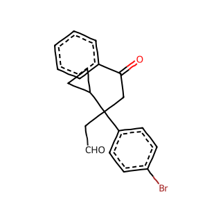 O=CCC(CC(=O)c1ccccc1)(c1ccc(Br)cc1)C1CC1